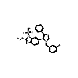 CC(C)S(=O)(=O)n1c(N)nc2ccc(-c3c(-c4ccccc4)ncn3Cc3cccc(F)c3)cc21